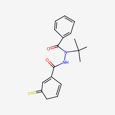 CC(C)(C)N(NC(=O)C1=CC(=S)CC=C1)C(=O)c1ccccc1